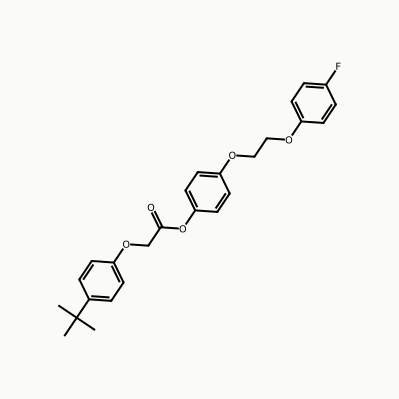 CC(C)(C)c1ccc(OCC(=O)Oc2ccc(OCCOc3ccc(F)cc3)cc2)cc1